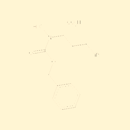 CC(C)CC[C@@H](C(=O)O)N(C)C(=O)OCc1ccccc1